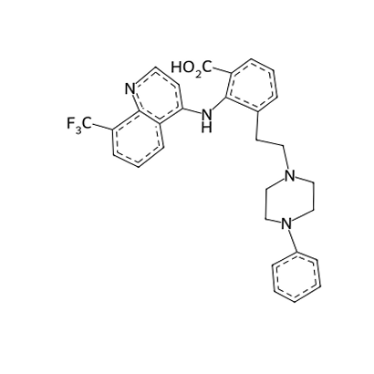 O=C(O)c1cccc(CCN2CCN(c3ccccc3)CC2)c1Nc1ccnc2c(C(F)(F)F)cccc12